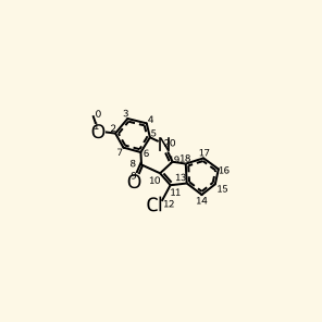 COc1ccc2c(c1)C(=O)C1=C(Cl)c3ccccc3C1=N2